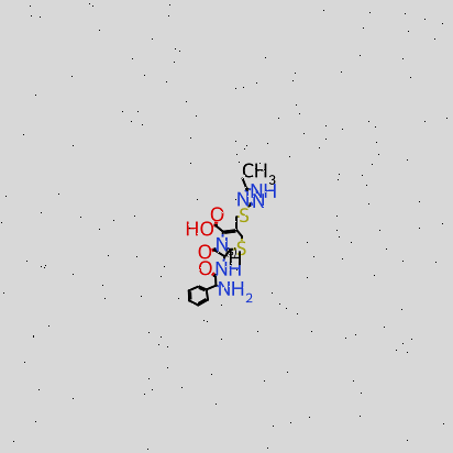 CCc1nc(SCC2=C(C(=O)O)N3C(=O)C(NC(=O)C(N)c4ccccc4)[C@@H]3SC2)n[nH]1